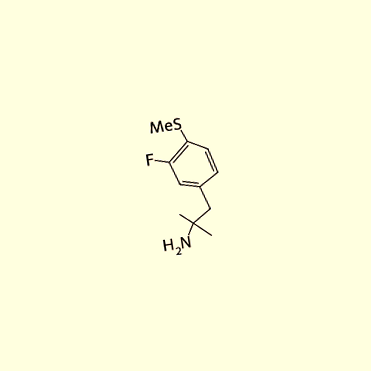 CSc1ccc(CC(C)(C)N)cc1F